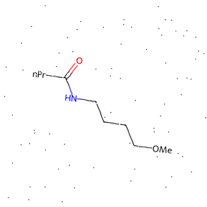 CCCC(=O)NCCCCOC